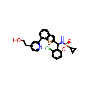 O=S(=O)(NC(c1cc2cccc(-c3cc(CCO)ccn3)c2s1)c1ccccc1Cl)C1CC1